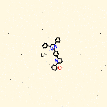 [Li+].[O-]c1ccccc1-c1cccc(-c2ccc(-c3nc(-c4ccccc4)cc(-c4ccccc4)n3)cc2)n1